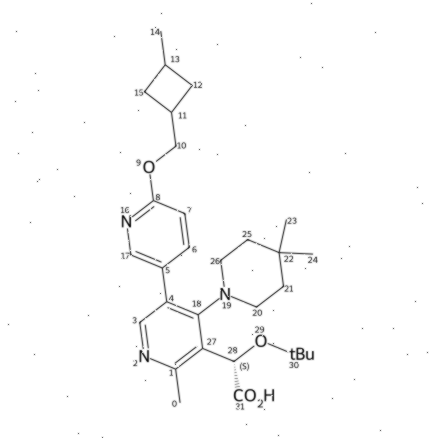 Cc1ncc(-c2ccc(OCC3CC(C)C3)nc2)c(N2CCC(C)(C)CC2)c1[C@H](OC(C)(C)C)C(=O)O